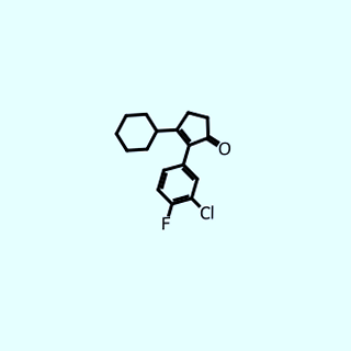 O=C1CCC(C2CCCCC2)=C1c1ccc(F)c(Cl)c1